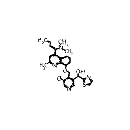 C=C/C=C(/c1cc(C)nc2c(OCc3c(Cl)cncc3C(O)c3nccs3)cccc12)N(C)C